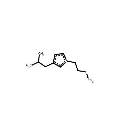 COCCn1ccc(CC(C)C)c1